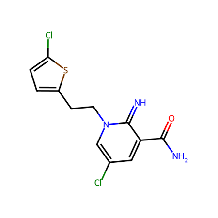 N=c1c(C(N)=O)cc(Cl)cn1CCc1ccc(Cl)s1